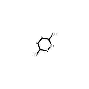 OC1CCC(O)SS1